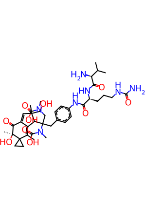 CC1=C2C(=CC(C)(CO)C2C(Cc2ccc(NC(=O)[C@H](CCCNC(N)=O)NC(=O)[C@@H](N)C(C)C)cc2)(CN(C)C(=O)O)N(C)C(=O)O)C(=O)[C@](C)(O)C12CC2